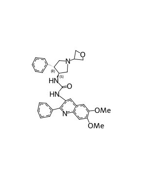 COc1cc2cc(NC(=O)N[C@@H]3CN(C4COC4)C[C@H]3c3ccccc3)c(-c3ccccc3)nc2cc1OC